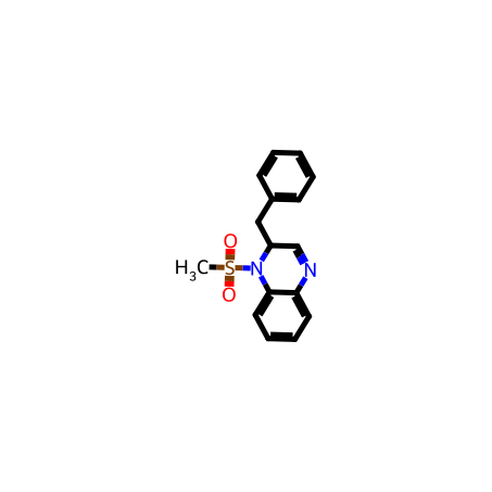 CS(=O)(=O)N1c2ccccc2N=CC1Cc1ccccc1